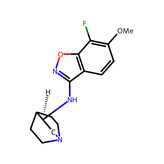 COc1ccc2c(N[C@H]3CN4CCC3CC4)noc2c1F